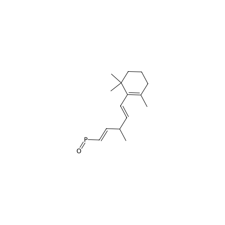 CC1=C(/C=C/C(C)/C=C/P=O)C(C)(C)CCC1